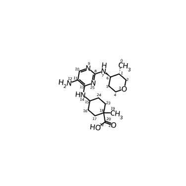 C[C@@H]1COCC[C@H]1Nc1ncc(N)c(NC2CCC(C)(C(=O)O)CC2)n1